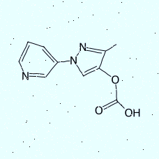 Cc1nn(-c2cccnc2)cc1OC(=O)O